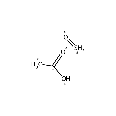 CC(=O)O.O=[SH2]